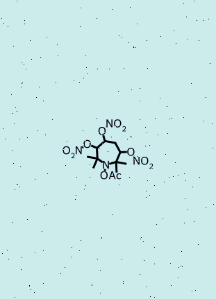 CC(=O)ON1C(C)(C)C(O[N+](=O)[O-])CC(O[N+](=O)[O-])C(O[N+](=O)[O-])C1(C)C